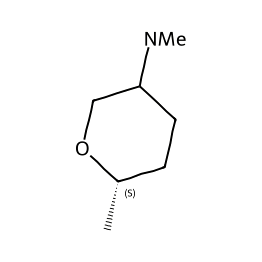 CNC1CC[C@H](C)OC1